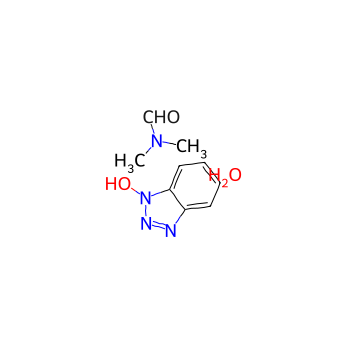 CN(C)C=O.O.On1nnc2ccccc21